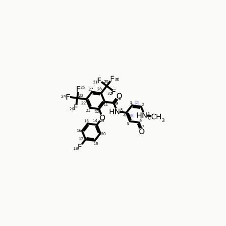 CN/C=C\C(=C/C=O)NC(=O)c1c(Oc2ccc(F)cc2)cc(C(F)(F)F)cc1C(F)(F)F